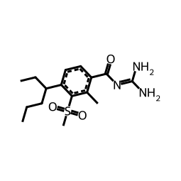 CCCC(CC)c1ccc(C(=O)N=C(N)N)c(C)c1S(C)(=O)=O